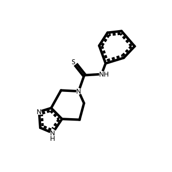 S=C(Nc1ccccc1)N1CCc2[nH]cnc2C1